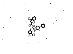 O=C(N[C@@H](Cc1ccc(Cl)c(Cl)c1)C(=O)N1CCC(c2ccccc2)CC1)c1cc(=O)c2ccccc2o1